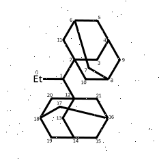 [CH2]CC(C12CC3CC(CC(C3)C1)C2)C12CC3CC(CC(C3)C1)C2